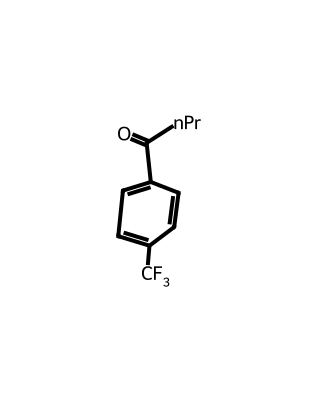 [CH2]CCC(=O)c1ccc(C(F)(F)F)cc1